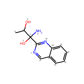 CC(O)C(N)(O)c1ncc2ccccc2n1